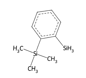 C[Si](C)(C)c1ccccc1[SiH3]